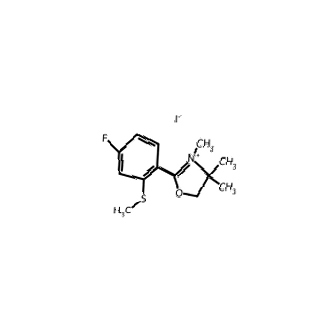 CSc1cc(F)ccc1C1=[N+](C)C(C)(C)CO1.[I-]